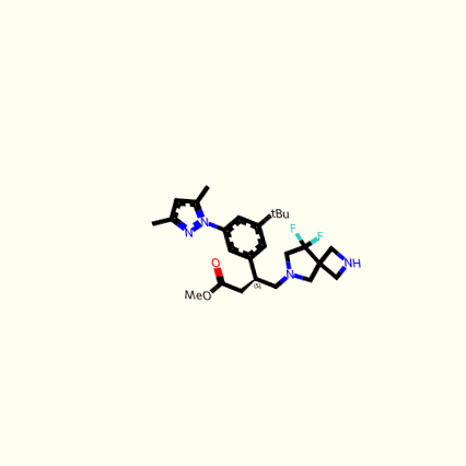 COC(=O)C[C@H](CN1CC(F)(F)C2(CNC2)C1)c1cc(-n2nc(C)cc2C)cc(C(C)(C)C)c1